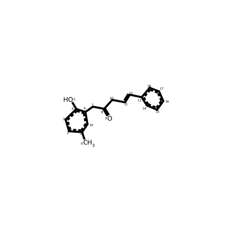 Cc1ccc(O)c(CC(=O)CC=Cc2ccccc2)c1